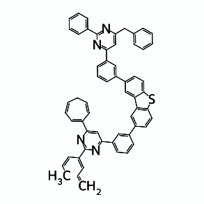 C=C/C=C(\C=C/C)c1nc(C2=CC=CCC=C2)cc(-c2cccc(-c3ccc4sc5ccc(-c6cccc(-c7cc(Cc8ccccc8)nc(-c8ccccc8)n7)c6)cc5c4c3)c2)n1